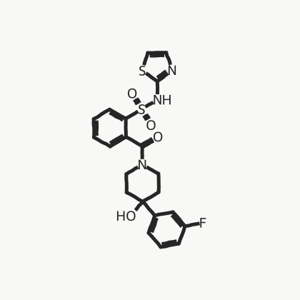 O=C(c1ccccc1S(=O)(=O)Nc1nccs1)N1CCC(O)(c2cccc(F)c2)CC1